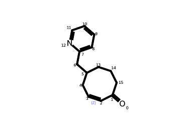 O=C1/C=C\CC(Cc2ccccn2)CCC1